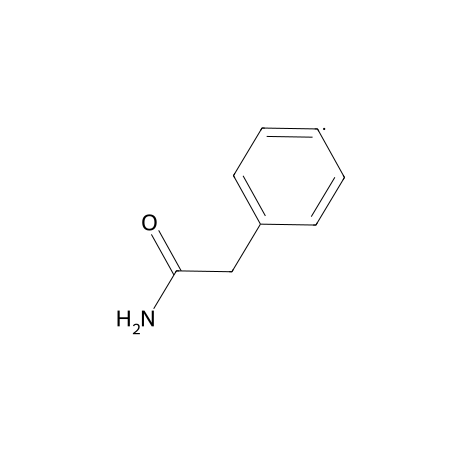 NC(=O)Cc1cc[c]cc1